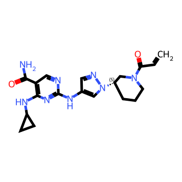 C=CC(=O)N1CCC[C@H](n2cc(Nc3ncc(C(N)=O)c(NC4CC4)n3)cn2)C1